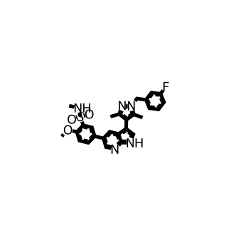 CNS(=O)(=O)c1cc(-c2cnc3[nH]cc(-c4c(C)nn(Cc5cccc(F)c5)c4C)c3c2)ccc1OC